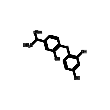 CCCCCCC(C(=O)O)c1ccc(Sc2ccc(O)cc2O)c(O)c1